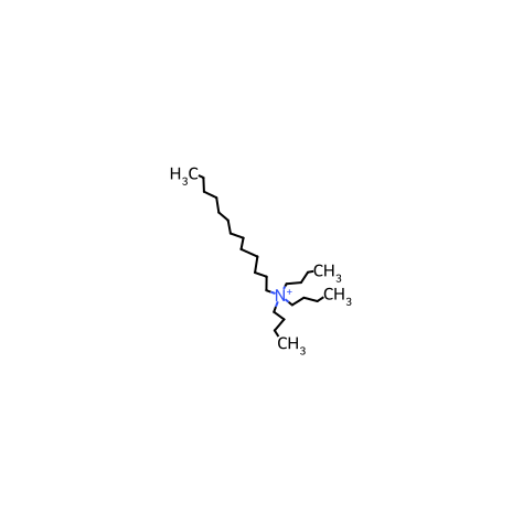 CCCCCCCCCCCCC[N+](CCCC)(CCCC)CCCC